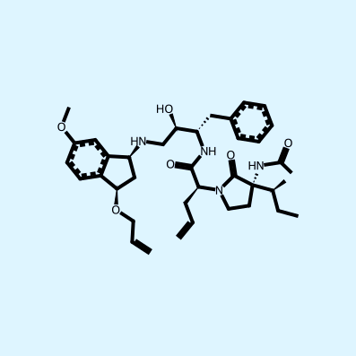 C=CCO[C@@H]1C[C@H](NC[C@@H](O)[C@H](Cc2ccccc2)NC(=O)[C@H](CC=C)N2CC[C@](NC(C)=O)([C@@H](C)CC)C2=O)c2cc(OC)ccc21